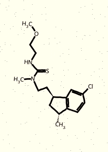 COCCNC(=S)N(C)CC[C@@H]1C[C@@H](C)c2ccc(Cl)cc21